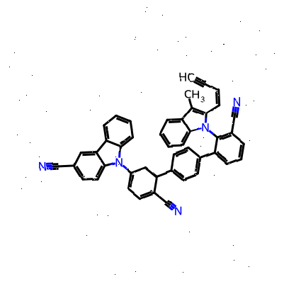 C#C/C=C\c1c(C)c2ccccc2n1-c1c(C#N)cccc1-c1ccc(C2CC(n3c4ccccc4c4cc(C#N)ccc43)=CC=C2C#N)cc1